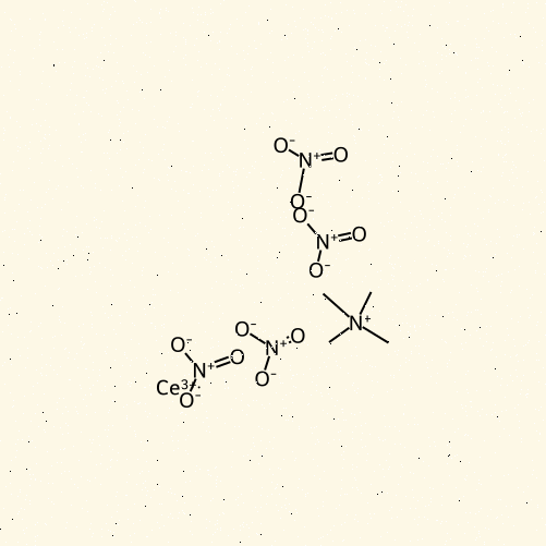 C[N+](C)(C)C.O=[N+]([O-])[O-].O=[N+]([O-])[O-].O=[N+]([O-])[O-].O=[N+]([O-])[O-].[Ce+3]